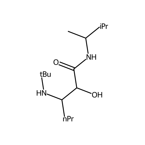 CCCC(NC(C)(C)C)C(O)C(=O)NC(C)C(C)C